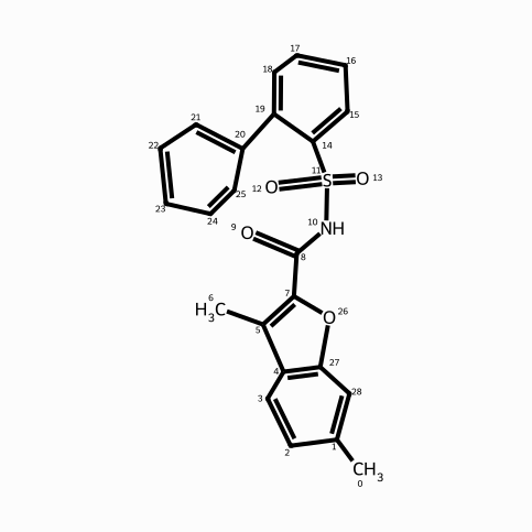 Cc1ccc2c(C)c(C(=O)NS(=O)(=O)c3ccccc3-c3ccccc3)oc2c1